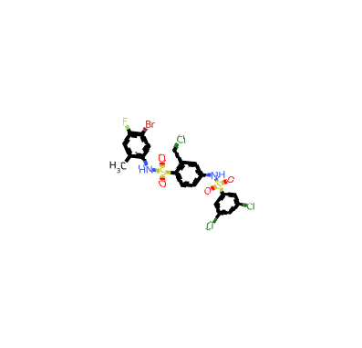 Cc1cc(F)c(Br)cc1NS(=O)(=O)c1ccc(NS(=O)(=O)c2cc(Cl)cc(Cl)c2)cc1CCl